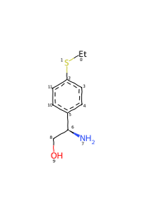 CCSc1ccc([C@@H](N)CO)cc1